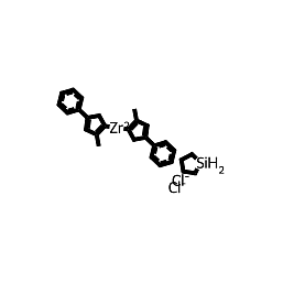 C1CC[SiH2]C1.CC1=[C]([Zr+2][C]2=C(C)C=C(c3ccccc3)C2)CC(c2ccccc2)=C1.[Cl-].[Cl-]